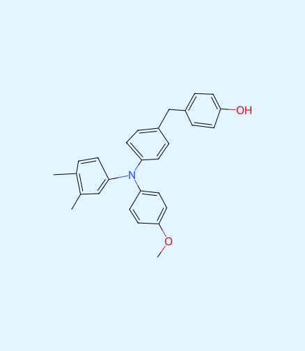 COc1ccc(N(c2ccc(Cc3ccc(O)cc3)cc2)c2ccc(C)c(C)c2)cc1